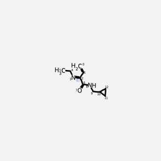 C=C/C(=N\CC)C(=O)NCC1CC1